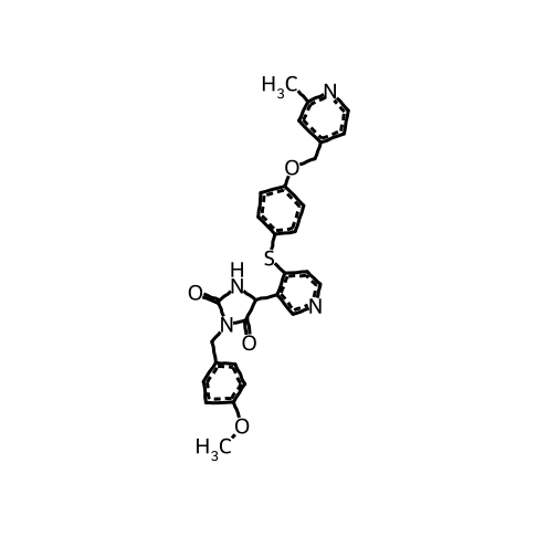 COc1ccc(CN2C(=O)NC(c3cnccc3Sc3ccc(OCc4ccnc(C)c4)cc3)C2=O)cc1